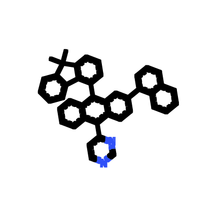 CC1(C)c2ccccc2-c2c(-c3c4ccccc4c(-c4ccncn4)c4ccc(-c5cccc6ccccc56)cc34)cccc21